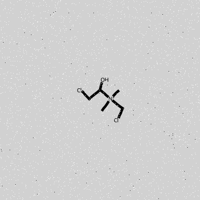 C[N+](C)(CCl)C(O)CCl